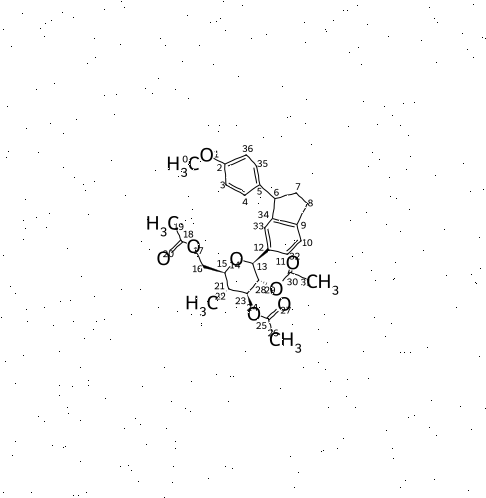 COc1ccc(C2CCc3ccc([C@@H]4O[C@H](COC(C)=O)[C@@H](C)[C@H](OC(C)=O)[C@H]4OC(C)=O)cc32)cc1